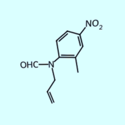 C=CCN(C=O)c1ccc([N+](=O)[O-])cc1C